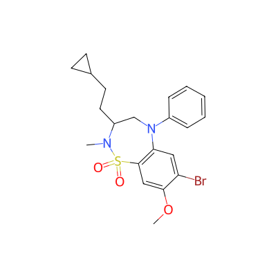 COc1cc2c(cc1Br)N(c1ccccc1)CC(CCC1CC1)N(C)S2(=O)=O